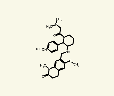 COc1cc2c(cc1CNC1CCCN(C(=O)CN(C)C)C1c1ccccc1)N(C)C(=O)CC2.Cl.Cl